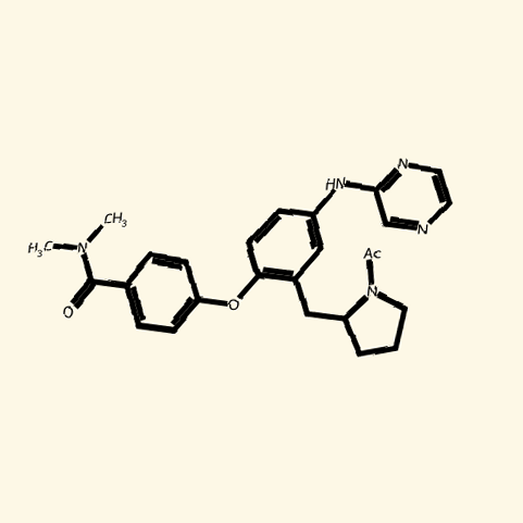 CC(=O)N1CCCC1Cc1cc(Nc2cnccn2)ccc1Oc1ccc(C(=O)N(C)C)cc1